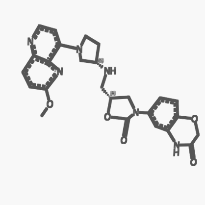 COc1ccc2nccc(N3CC[C@H](NC[C@@H]4CN(c5ccc6c(c5)NC(=O)CO6)C(=O)O4)C3)c2n1